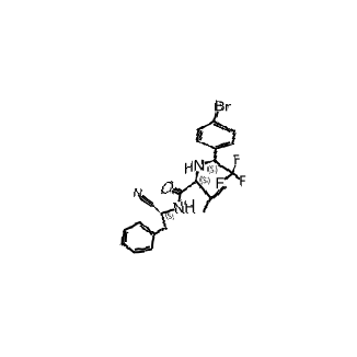 CC(C)[C@H](N[C@@H](c1ccc(Br)cc1)C(F)(F)F)C(=O)N[C@H](C#N)Cc1ccccc1